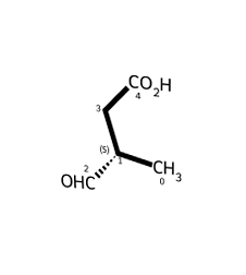 C[C@H](C=O)CC(=O)O